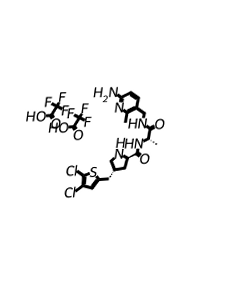 Cc1nc(N)ccc1CNC(=O)[C@H](C)NC(=O)[C@H]1C[C@H](Cc2cc(Cl)c(Cl)s2)CN1.O=C(O)C(F)(F)F.O=C(O)C(F)(F)F